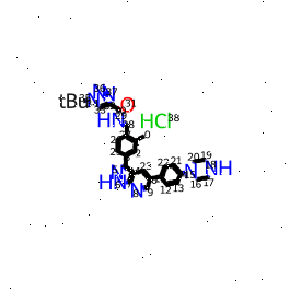 Cc1cc(-c2n[nH]c3ncc(-c4ccc(N5CCNCC5)cc4)cc23)ccc1CNC(=O)c1cn(C(C)(C)C)nn1.Cl